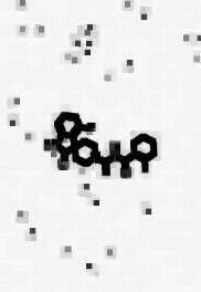 C=C(NC(=O)C1=C(C)CCCC1)N1CCC2(CC1)C(=O)Nc1cccc(F)c12